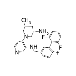 CC1CC(N)CN(c2ccncc2NCc2ccc(F)c(-c3c(F)cccc3F)c2)C1